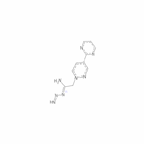 N=N/N=C(\N)C[n+]1ccc(-c2ncccn2)cn1